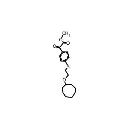 COC(=O)C(=O)c1ccc(SCCOC2CCCCCCC2)cc1